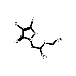 CCOC(C)Cn1sc(Cl)c(Cl)c1=O